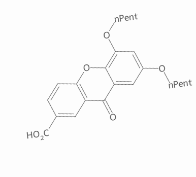 CCCCCOc1cc(OCCCCC)c2oc3ccc(C(=O)O)cc3c(=O)c2c1